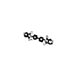 O=C1c2ccncc2C(=O)N1c1ccc(-c2ccc(N3C(=O)c4cnccc4C3O)cc2)cc1